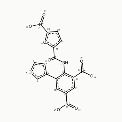 O=C(Nc1c(-c2ccoc2)cc([N+](=O)[O-])cc1[N+](=O)[O-])c1ccc([N+](=O)[O-])o1